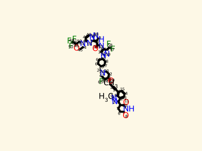 Cn1nc(C2CCC(=O)NC2=O)c2cccc(C#CCOC3CCN(C[C@H]4CC[C@H](n5cc(NC(=O)c6cnn7ccc(N8CCOC(C(F)(F)F)C8)nc67)c(C(F)F)n5)CC4)C[C@@]3(C)F)c21